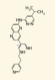 CC(C)c1cnnc(Nc2ccc3ncc(/C(C=N)=C/NCCc4ccncc4)cc3n2)c1